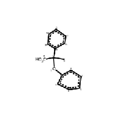 CC(Oc1ccccc1)(C(=O)O)c1ccccc1